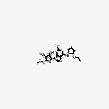 CCO[C@H]1CCCN1Nc1nc(Cl)nc2c1ncn2[C@@H]1O[C@H](COC)[C@@H](O)[C@H]1O